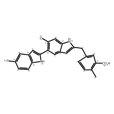 Cc1ccc(Cc2cc3cc(-c4cc5cc(F)ccc5[nH]4)c(Cl)cc3[nH]2)cc1C(=O)O